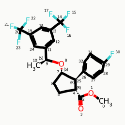 COC(=O)[C@@H]1CC[C@H](O[C@@H](C)c2cc(C(F)(F)F)cc(C(F)(F)F)c2)[C@H]1c1ccc(F)cc1